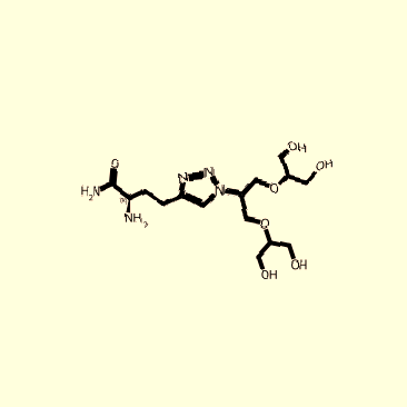 NC(=O)[C@H](N)CCc1cn(C(COC(CO)CO)COC(CO)CO)nn1